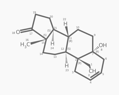 CC[C@]12CC=CC[C@]1(O)CC[C@@H]1[C@@H]2CC[C@]2(C)C(=O)CC[C@@H]12